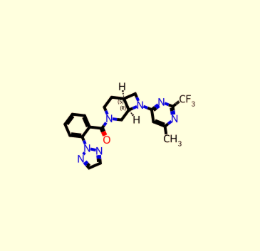 Cc1cc(N2C[C@@H]3CCN(C(=O)c4ccccc4-n4nccn4)C[C@@H]32)nc(C(F)(F)F)n1